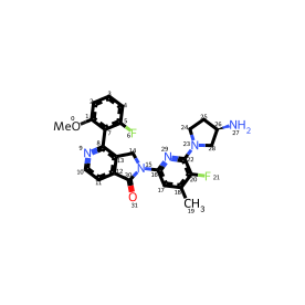 COc1cccc(F)c1-c1nccc2c1CN(c1cc(C)c(F)c(N3CC[C@@H](N)C3)n1)C2=O